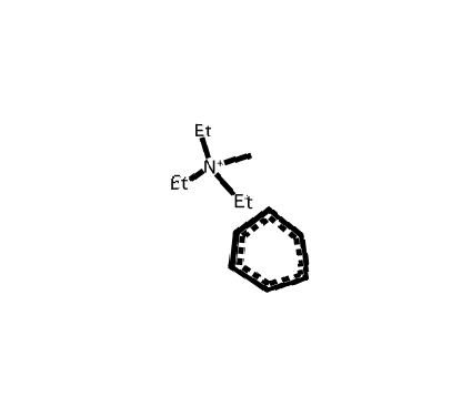 CC[N+](C)(CC)CC.c1ccccc1